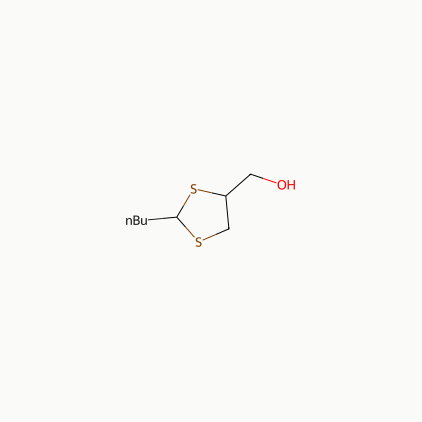 CCCCC1SCC(CO)S1